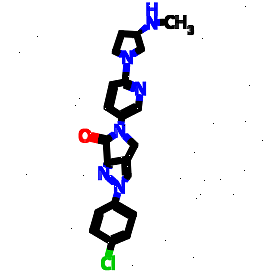 CN[C@@H]1CCN(c2ccc(N3Cc4cn(-c5ccc(Cl)cc5)nc4C3=O)cn2)C1